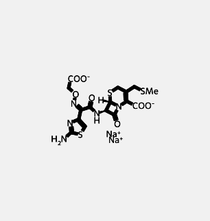 CSCC1=C(C(=O)[O-])N2C(=O)[C@@H](NC(=O)/C(=N\OCC(=O)[O-])c3csc(N)n3)[C@@H]2SC1.[Na+].[Na+]